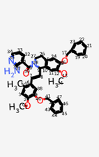 COc1cc(C)c(C=CC2c3cc(OC)c(OCc4ccccc4)cc3CCN2C(=O)c2cccnc2N)cc1OCc1ccccc1